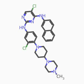 CN1CCN(C2CCN(c3ccc(Nc4ncc(Cl)c(Nc5ccc6ccccc6c5)n4)cc3Cl)CC2)CC1